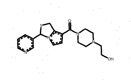 O=C(c1ccn2c1CSC2c1cccnc1)N1CCN(CCO)CC1